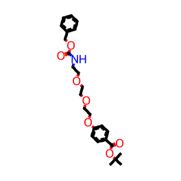 CC(C)(C)OC(=O)c1ccc(OCCOCCOCCNC(=O)OCc2ccccc2)cc1